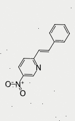 O=[N+]([O-])c1ccc(/C=C/c2ccccc2)nc1